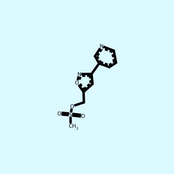 CS(=O)(=O)OCc1cc(-c2cccnc2)no1